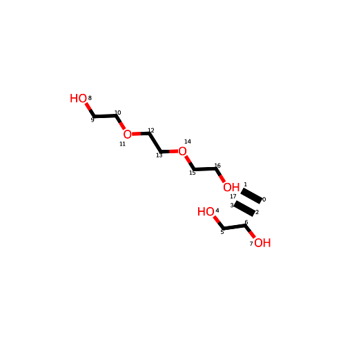 C=C.C=C.OCCO.OCCOCCOCCO